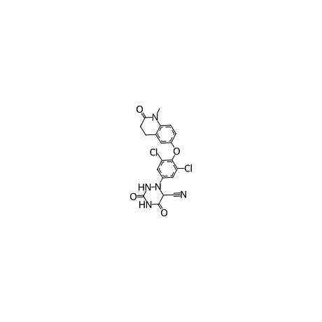 CN1C(=O)CCc2cc(Oc3c(Cl)cc(N4NC(=O)NC(=O)C4C#N)cc3Cl)ccc21